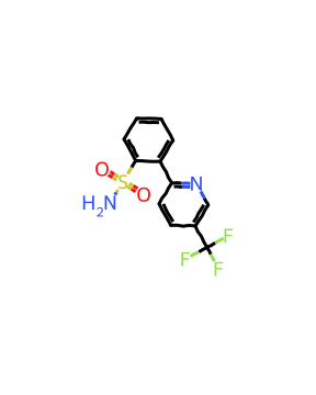 NS(=O)(=O)c1ccccc1-c1ccc(C(F)(F)F)cn1